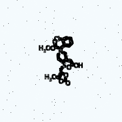 COC(=O)[C@H](c1ccccc1Cl)N1CCC(SCc2oc(=O)oc2C)/C(=C\C(=O)O)C1